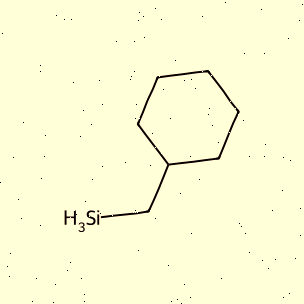 [SiH3]CC1CCCCC1